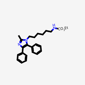 CCOC(=O)NCCCCCCn1c(C)nc(-c2ccccc2)c1-c1ccccc1